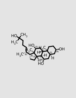 C[C@H](CCCC(C)(C)O)[C@H]1CC[C@H]2[C@@H]3[C@H](O)C[C@@H]4C[C@H](O)CC[C@]4(C)[C@H]3C[C@H](O)[C@]12C